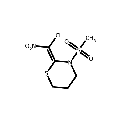 CS(=O)(=O)N1CCCS/C1=C(/Cl)[N+](=O)[O-]